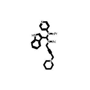 CCCN(c1ccncc1)C(c1c[nH]c2ccccc12)N(CC#CCN1CCCCC1)C(C)=O